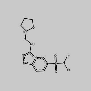 CCN(CC)S(=O)(=O)c1ccc2nnc(NC[C@H]3CCCO3)n2c1